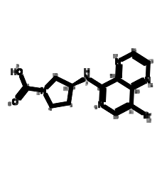 O=C(O)N1CC[C@H](Nc2ncc(Br)c3nccnc23)C1